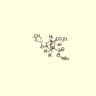 C=CCO[C@H]1C[C@H]2CC[C@@H]1N(C(=O)OC(C)(C)C)[C@@H]2C(=O)OCC